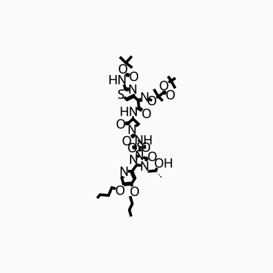 CCCCOc1cnc(-c2nn(S(=O)(=O)NC(=O)N3C[C@H](NC(=O)/C(=N\OC(C)(C)C(=O)OC(C)(C)C)c4csc(NC(=O)OC(C)(C)C)n4)C3=O)c(=O)n2C[C@@H](C)O)cc1OCCCC